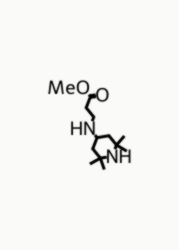 COC(=O)CCNC1CC(C)(C)NC(C)(C)C1